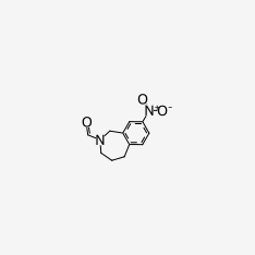 O=CN1CCCc2ccc([N+](=O)[O-])cc2C1